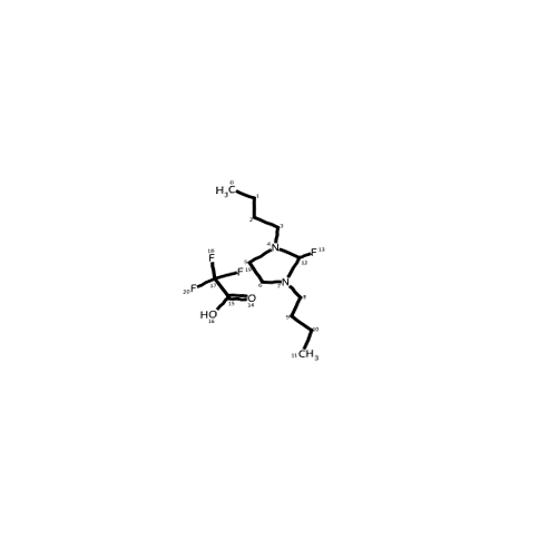 CCCCN1CCN(CCCC)C1F.O=C(O)C(F)(F)F